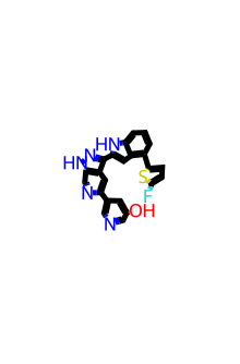 Oc1cncc(-c2cc3c(-c4cc5c(-c6ccc(F)s6)cccc5[nH]4)n[nH]c3cn2)c1